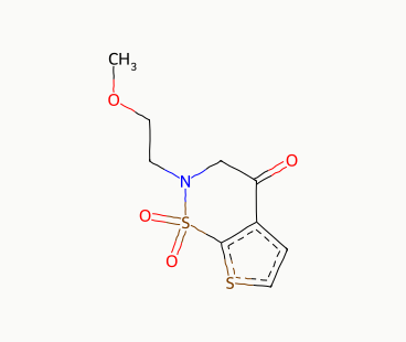 COCCN1CC(=O)c2ccsc2S1(=O)=O